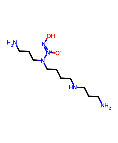 NCCCNCCCCN(CCCN)[N+]([O-])=NO